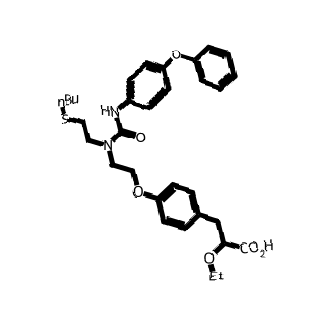 CCCCSCCN(CCOc1ccc(CC(OCC)C(=O)O)cc1)C(=O)Nc1ccc(Oc2ccccc2)cc1